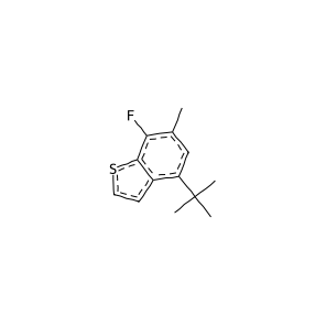 Cc1cc(C(C)(C)C)c2ccsc2c1F